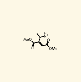 COC(=O)/C=C(/C(=O)OC)N(C)N